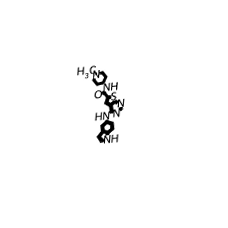 CN1CCC(NC(=O)c2cc3c(Nc4ccc5[nH]ccc5c4)ncnc3s2)CC1